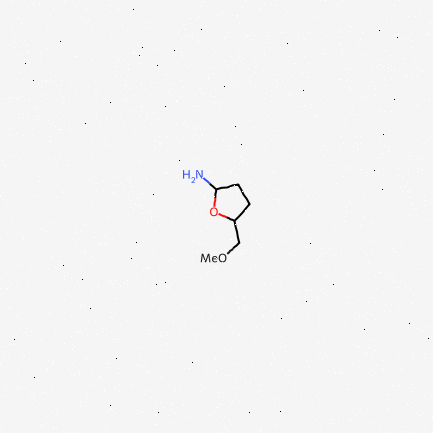 COCC1CCC(N)O1